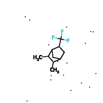 CC1C2CC(C1C)C(C(F)(F)F)C2